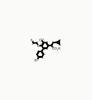 CCc1ccc(-c2cc(C(CC3CC3)C(=O)O)cc(Cl)c2OCCF)cc1